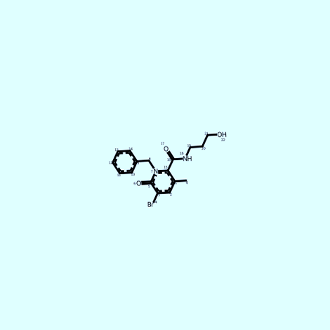 Cc1cc(Br)c(=O)n(Cc2ccccc2)c1C(=O)NCCCO